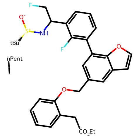 CCCCCC.CCOC(=O)Cc1ccccc1OCc1cc(-c2cccc(C(CF)N[S@+]([O-])C(C)(C)C)c2F)c2occc2c1